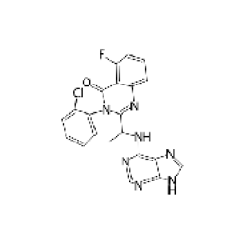 CC(Nc1ncnc2[nH]cnc12)c1nc2cccc(F)c2c(=O)n1-c1ccccc1Cl